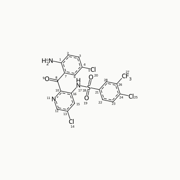 Nc1ccc(Cl)cc1C(=O)c1ncc(Cl)cc1NS(=O)(=O)c1ccc(Cl)c(C(F)(F)F)c1